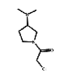 CN(C)C1CCN(C(=O)CCl)C1